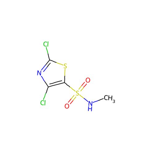 CNS(=O)(=O)c1sc(Cl)nc1Cl